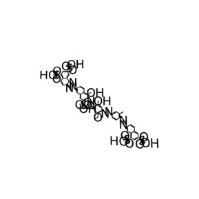 COc1cc(N=Nc2c(S(=O)(=O)O)cc3cc(-n4nc5ccc6c(S(=O)(=O)O)cc(S(=O)(=O)O)cc6c5n4)ccc3c2O)c(O)cc1N=Nc1ccc(N=Nc2ccc3cc(S(=O)(=O)O)cc(S(=O)(=O)O)c3c2)c(C)c1